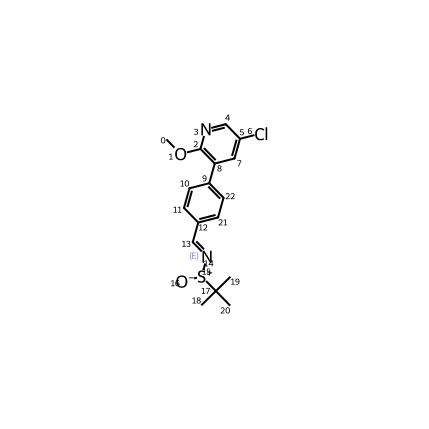 COc1ncc(Cl)cc1-c1ccc(/C=N/[S+]([O-])C(C)(C)C)cc1